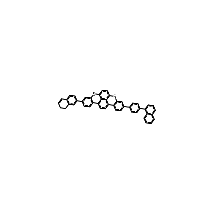 C1=Cc2ccc(-c3ccc4c(c3)Sc3ccc5c6c(ccc-4c36)-c3ccc(-c4ccc(-c6cccc7ccccc67)cc4)cc3S5)cc2CC1